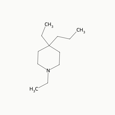 CCCC1(CC)CCN(CC)CC1